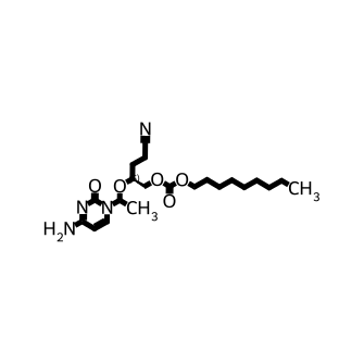 CCCCCCCCCOC(=O)OC[C@H](CCC#N)OC(C)n1ccc(N)nc1=O